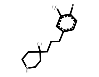 OC1(CCCc2ccc(F)c(C(F)(F)F)c2)CCNCC1